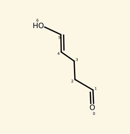 O=CCCC=CO